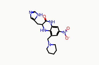 O=C1Nc2cc([N+](=O)[O-])cc(CN3CCCCC3)c2NC1Cc1cnc[nH]1